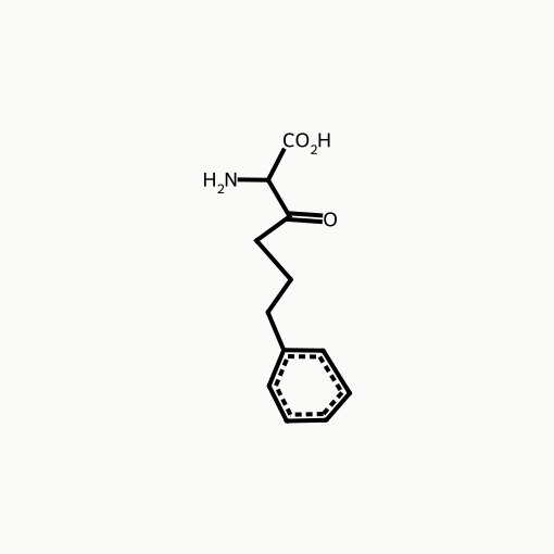 NC(C(=O)O)C(=O)CCCc1ccccc1